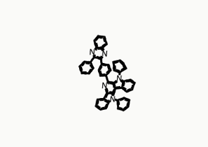 c1ccc(-c2nc3ccccc3nc2-c2ccc(-c3nc4c5ccccc5n(-c5ccccc5)c4c4c5ccccc5n(-c5ccccc5)c34)cc2)cc1